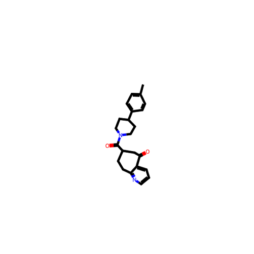 Cc1ccc(C2CCN(C(=O)C3CCc4ncccc4C(=O)C3)CC2)cc1